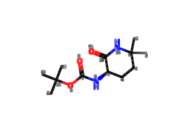 CC1(C)CC[C@@H](NC(=O)OC(C)(C)C)C(=O)N1